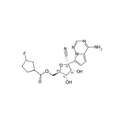 N#C[C@@]1(c2ccc3c(N)ncnn23)O[C@H](COC(=O)C2CCC(F)C2)[C@@H](O)[C@H]1O